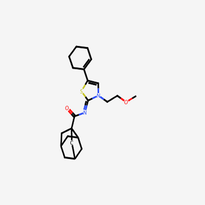 COCCn1cc(C2=CCCCC2)sc1=NC(=O)C12CC3CC(CC1C3)C2